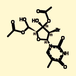 CC(=O)OC(O)[C@H]1O[C@@H](n2cc(C)c(=O)[nH]c2=O)[C@H](Br)[C@@]1(O)OC(C)=O